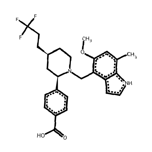 COc1cc(C)c2[nH]ccc2c1CN1CC[C@H](CCC(F)(F)F)C[C@@H]1c1ccc(C(=O)O)cc1